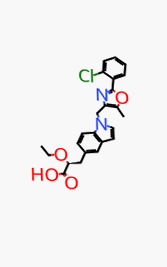 CCO[C@@H](Cc1ccc2c(ccn2Cc2nc(-c3ccccc3Cl)oc2C)c1)C(=O)O